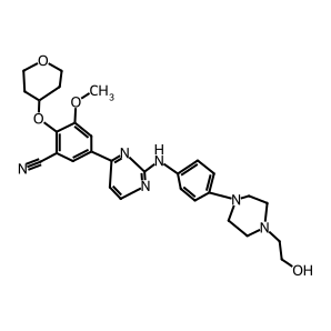 COc1cc(-c2ccnc(Nc3ccc(N4CCN(CCO)CC4)cc3)n2)cc(C#N)c1OC1CCOCC1